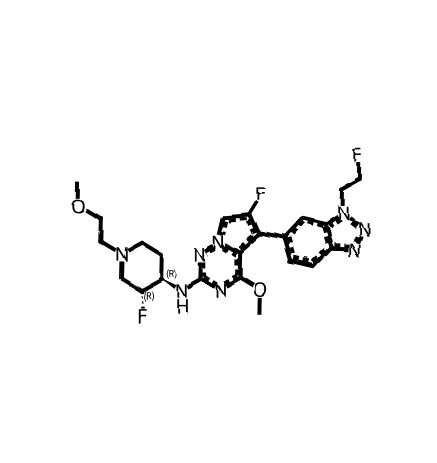 COCCN1CC[C@@H](Nc2nc(OC)c3c(-c4ccc5nnn(CCF)c5c4)c(F)cn3n2)[C@H](F)C1